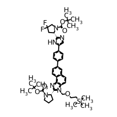 CC(C)(C)OC(=O)N1CC(F)(F)C[C@H]1c1ncc(-c2ccc(-c3ccc4c(ccc5c4nc([C@@H]4CCCN4C(=O)OC(C)(C)C)n5COCC[Si](C)(C)C)c3)cc2)[nH]1